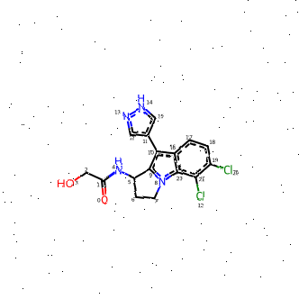 O=C(CO)NC1CCn2c1c(-c1cn[nH]c1)c1ccc(Cl)c(Cl)c12